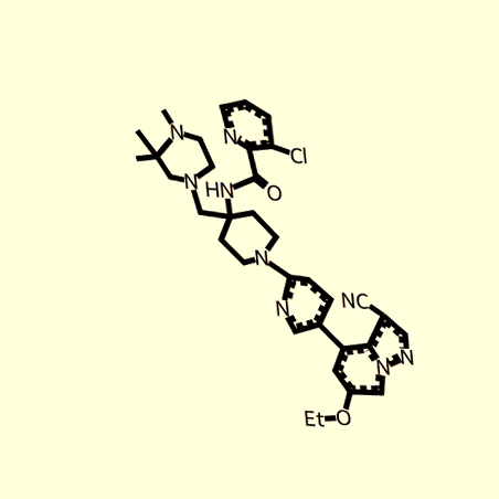 CCOc1cc(-c2ccc(N3CCC(CN4CCN(C)C(C)(C)C4)(NC(=O)c4ncccc4Cl)CC3)nc2)c2c(C#N)cnn2c1